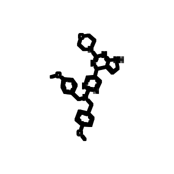 COc1ccc(CN(Cc2ccc(OC)cc2)c2ncc(C3N=C(N4CCOCC4)N=C4NCC=C43)cn2)cc1